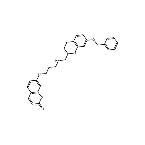 O=c1ccc2ccc(OCCCNCC3CCc4ccc(OCc5ccccc5)cc4O3)cc2o1